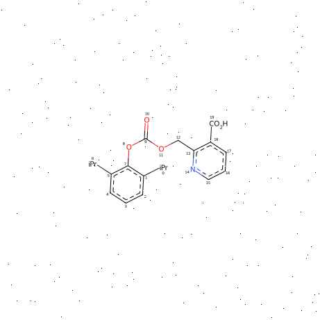 CC(C)c1cccc(C(C)C)c1OC(=O)OCc1ncccc1C(=O)O